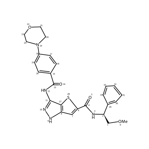 COC[C@@H](NC(=O)c1cc2[nH]nc(NC(=O)c3ccc(N4CCOCC4)cc3)c2s1)c1ccccc1